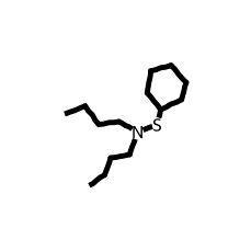 CCCCN(CCCC)SC1CCCCC1